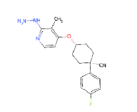 Cc1c(O[C@H]2CC[C@](C#N)(c3ccc(F)cc3)CC2)ccnc1NN